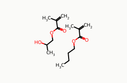 C=C(C)C(=O)OCC(C)O.C=C(C)C(=O)OCCCC